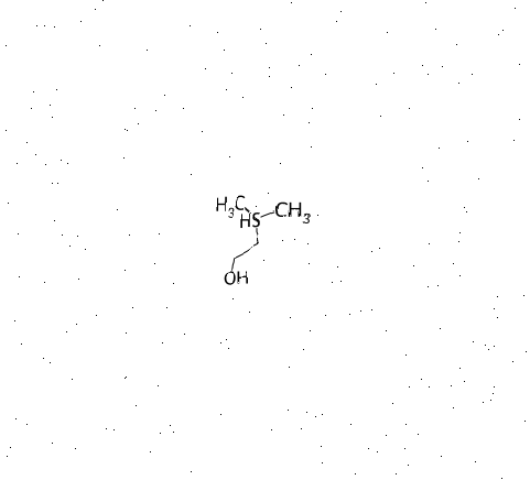 C[SH](C)CCO